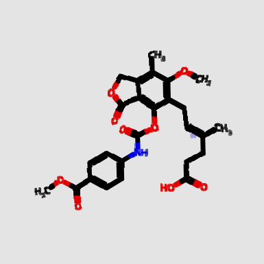 COC(=O)c1ccc(NC(=O)Oc2c(C/C=C(\C)CCC(=O)O)c(OC)c(C)c3c2C(=O)OC3)cc1